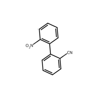 N#Cc1ccccc1-c1ccc[c]c1[N+](=O)[O-]